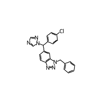 Clc1ccc(C(c2ccc3nnn(Cc4ccccc4)c3c2)n2cncn2)cc1